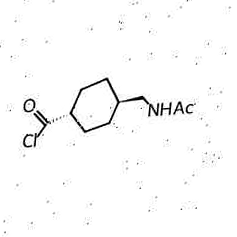 CC(=O)NC[C@H]1CC[C@H](C(=O)Cl)CC1